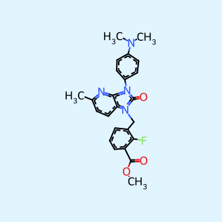 COC(=O)c1cccc(Cn2c(=O)n(-c3ccc(N(C)C)cc3)c3nc(C)ccc32)c1F